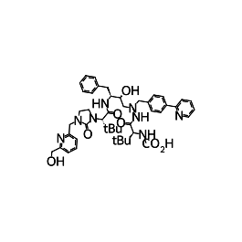 CC(C)(C)[C@H](NC(=O)O)C(=O)NN(Cc1ccc(-c2ccccn2)cc1)C[C@H](O)[C@H](Cc1ccccc1)NC(=O)[C@@H](N1CCN(Cc2cccc(CO)n2)C1=O)C(C)(C)C